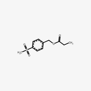 CCC(=O)OCc1ccc(S(C)(=O)=O)cc1